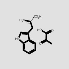 CC(=O)C(=O)O.N[C@@H](Cc1c[nH]c2ccccc12)C(=O)O